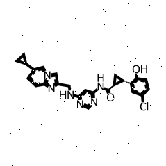 O=C(Nc1cc(NCc2cn3cc(C4CC4)ccc3n2)ncn1)[C@H]1C[C@@H]1c1cc(Cl)ccc1O